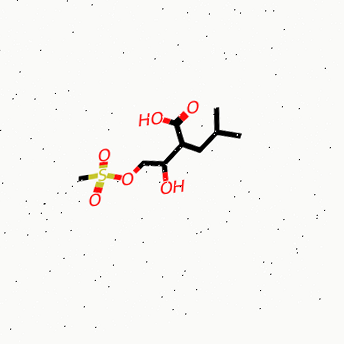 CC(C)CC(C(=O)O)C(O)COS(C)(=O)=O